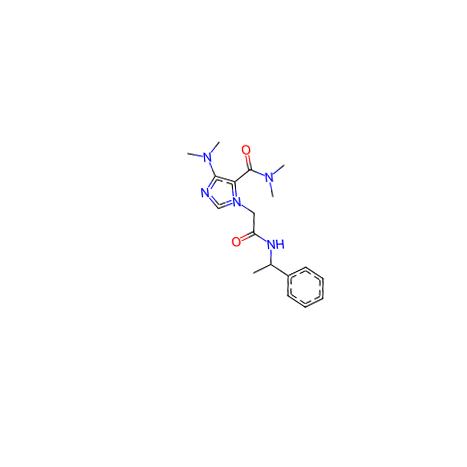 CC(NC(=O)Cn1cnc(N(C)C)c1C(=O)N(C)C)c1ccccc1